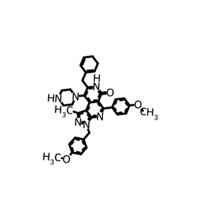 COc1ccc(Cn2nc(C)c3c4c(N5CCNCC5)c(CC5=CCCC=C5)[nH]c(=O)c4c(-c4ccc(OC)cc4)nc32)cc1